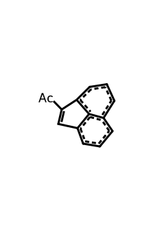 CC(=O)C1=Cc2cccc3cccc1c23